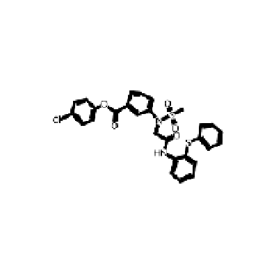 CS(=O)(=O)N(CC(=O)Nc1ccccc1Sc1ccccc1)c1cccc(C(=O)Oc2ccc(Cl)cc2)c1